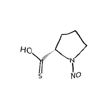 O=NN1CCC[C@H]1C(O)=S